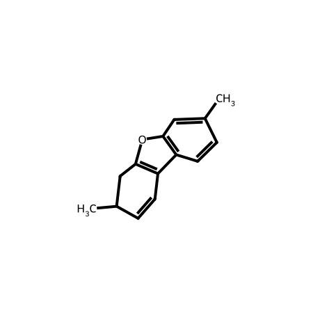 Cc1ccc2c3c(oc2c1)CC(C)C=C3